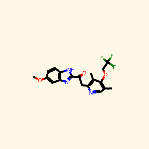 COc1ccc2[nH]c(C(=O)Cc3ncc(C)c(OCC(F)(F)F)c3C)nc2c1